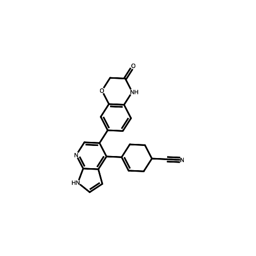 N#CC1CC=C(c2c(-c3ccc4c(c3)OCC(=O)N4)cnc3[nH]ccc23)CC1